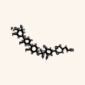 CC/C=C/C1COC(c2cc(F)c(C(F)(F)Oc3ccc(-c4ccc(-c5cc(F)c(C(F)(F)F)c(F)c5)c(F)c4)c(F)c3)c(F)c2)OC1